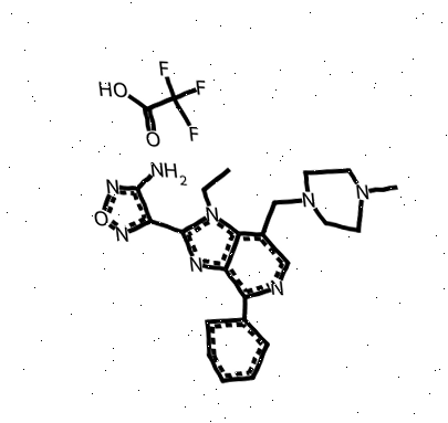 CCn1c(-c2nonc2N)nc2c(-c3ccccc3)ncc(CN3CCN(C)CC3)c21.O=C(O)C(F)(F)F